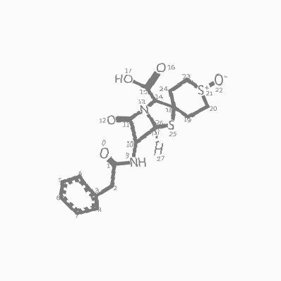 O=C(Cc1ccccc1)NC1C(=O)N2C(C(=O)O)C3(CC[S+]([O-])CC3)S[C@@H]12